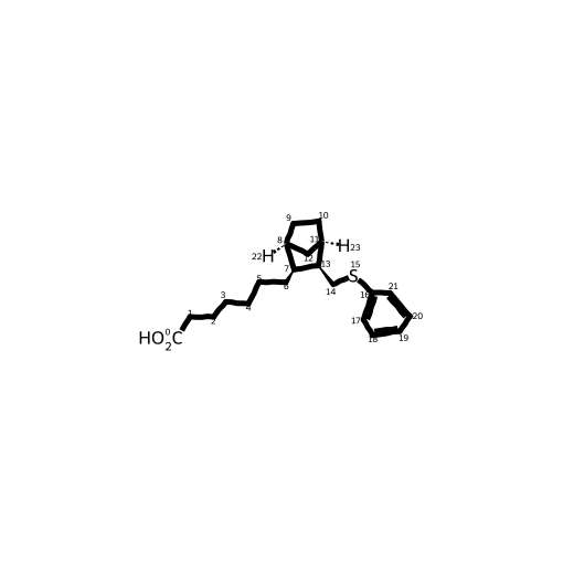 O=C(O)CCCCCC[C@H]1[C@H]2CC[C@H](C2)[C@H]1CSc1ccccc1